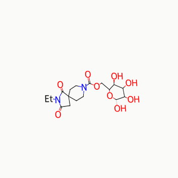 CCN1C(=O)CC2(CCN(C(=O)OCC3O[C@@H](O)C(O)C(O)[C@@H]3O)CC2)C1=O